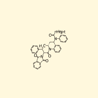 CCCCCCCC(=O)N(c1ccccc1)C1CC(C)N(C(=O)C(Cc2ccccc2)N2C(=O)c3ccccc3C2=O)c2ccccc21